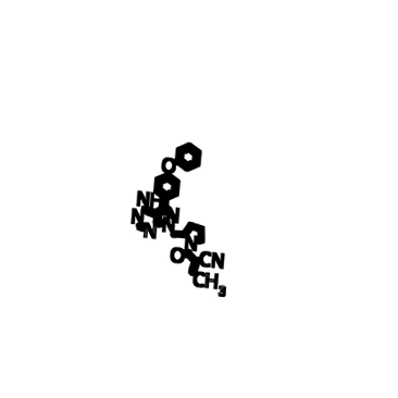 C/C=C(\C#N)C(=O)N1CCCC1Cn1nc(-c2ccc(Oc3ccccc3)cc2)c2c(N)ncnc21